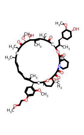 COCCOc1ccc([C@@H]2C[C@@H]3CC[C@@H](C)[C@@](O)(O3)C(=O)C(=O)N3CCCC[C@H]3C(=O)O[C@H]([C@H](C)C[C@@H]3CC[C@@H](O)[C@H](OC)C3)CC(=O)[C@H](C)/C=C(\C)[C@@H](O)[C@@H](OC)C(=O)[C@H](C)C[C@H](C)/C=C/C=C/C=C/2C)c(OC)c1